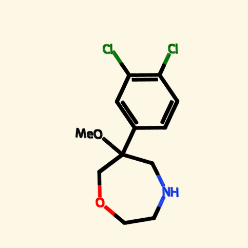 COC1(c2ccc(Cl)c(Cl)c2)CNCCOC1